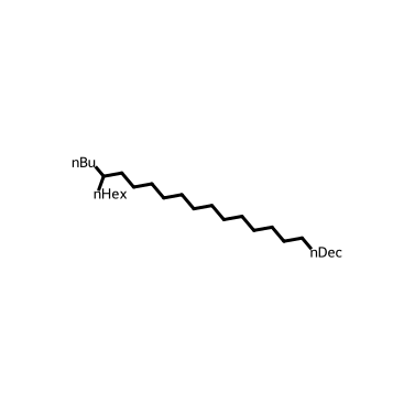 [CH2]CCCC(CCCCCC)CCCCCCCCCCCCCCCCCCCCCCC